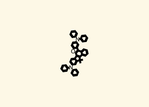 CC1(C)c2cc(N(c3ccccc3)c3ccccc3)ccc2-c2c1c1ccccc1c1c2oc2ccc(N(c3ccccc3)c3ccccc3)cc21